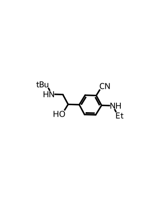 CCNc1ccc(C(O)CNC(C)(C)C)cc1C#N